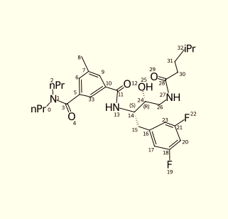 CCCN(CCC)C(=O)c1cc(C)cc(C(=O)N[C@@H](Cc2cc(F)cc(F)c2)[C@H](O)CNC(=O)CCC(C)C)c1